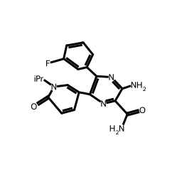 CC(C)n1cc(-c2nc(C(N)=O)c(N)nc2-c2cccc(F)c2)ccc1=O